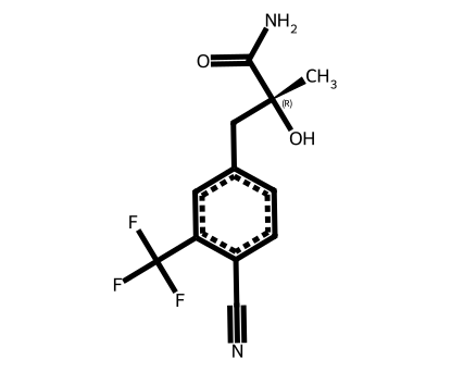 C[C@@](O)(Cc1ccc(C#N)c(C(F)(F)F)c1)C(N)=O